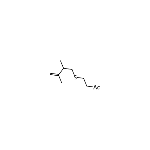 C=C(C)C(C)CSCCC(C)=O